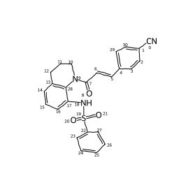 N#Cc1ccc(C=CC(=O)N2CCCc3cccc(NS(=O)(=O)c4ccccc4)c32)cc1